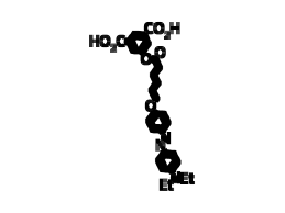 CCN(CC)c1ccc(N=Nc2ccc(OCCCCCC(=O)Oc3cc(C(=O)O)cc(C(=O)O)c3)cc2)cc1